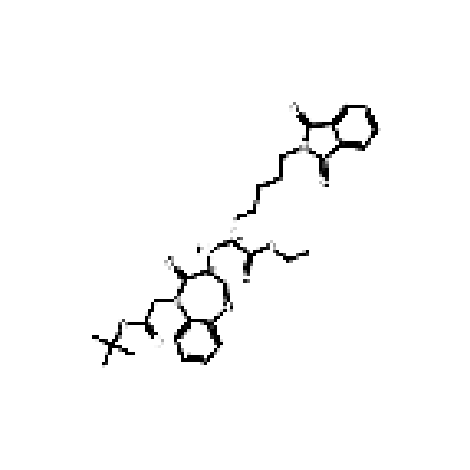 CCOC(=O)[C@@H](CCCCCN1C(=O)c2ccccc2C1=O)N[C@H]1COc2ccccc2N(CC(=O)OC(C)(C)C)C1=O